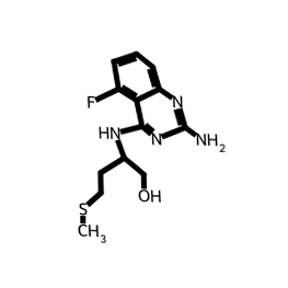 CSCCC(CO)Nc1nc(N)nc2cccc(F)c12